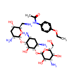 CCOc1ccc(NC(C)=O)cc1.NC[C@H]1O[C@H](O[C@H]2[C@H](O)[C@@H](O[C@H]3O[C@H](CO)[C@@H](O)[C@H](N)[C@H]3O)[C@H](N)C[C@@H]2N)[C@H](N)C[C@@H]1O